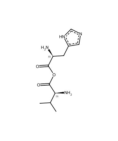 CC(C)[C@H](N)C(=O)OC(=O)[C@@H](N)Cc1cnc[nH]1